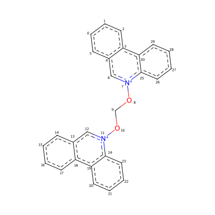 c1ccc2c(c1)c[n+](OCO[n+]1cc3ccccc3c3ccccc31)c1ccccc21